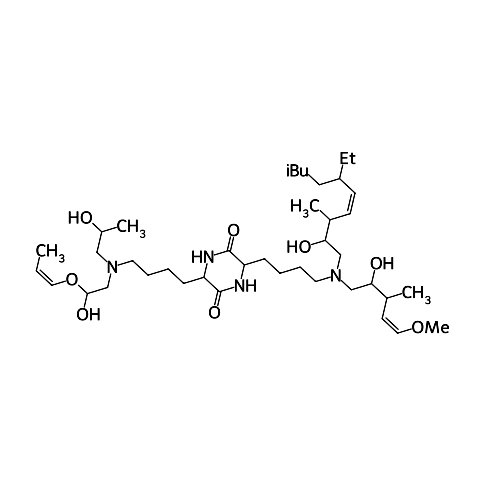 C/C=C\OC(O)CN(CCCCC1NC(=O)C(CCCCN(CC(O)C(C)/C=C\OC)CC(O)C(C)/C=C\C(CC)CC(C)CC)NC1=O)CC(C)O